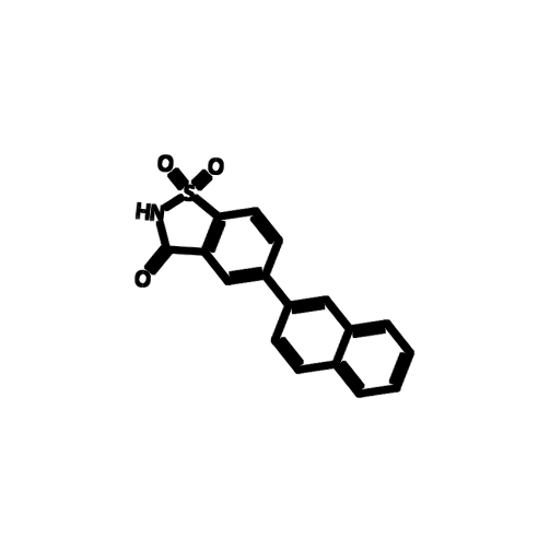 O=C1NS(=O)(=O)c2ccc(-c3ccc4ccccc4c3)cc21